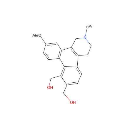 CCCN1CCc2c(c3cc(OC)ccc3c3c(CO)c(CO)ccc23)C1